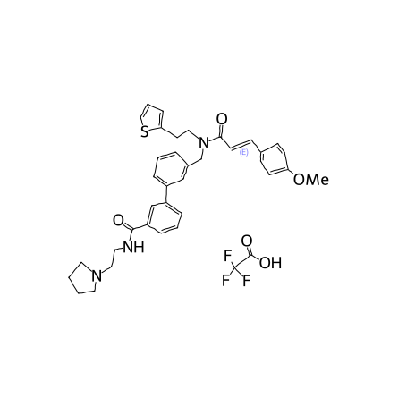 COc1ccc(/C=C/C(=O)N(CCc2cccs2)Cc2cccc(-c3cccc(C(=O)NCCN4CCCC4)c3)c2)cc1.O=C(O)C(F)(F)F